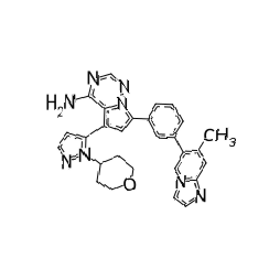 Cc1cc2nccn2cc1-c1cccc(-c2cc(-c3ccnn3C3CCOCC3)c3c(N)ncnn23)c1